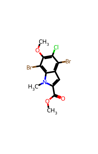 COC(=O)c1cc2c(Br)c(Cl)c(OC)c(Br)c2n1C